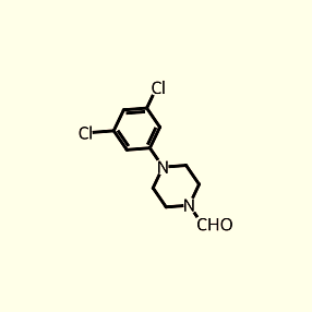 O=CN1CCN(c2cc(Cl)cc(Cl)c2)CC1